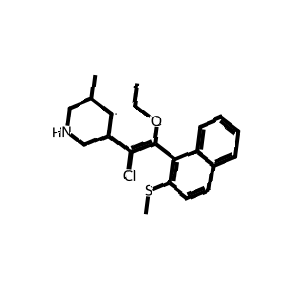 CCOC(=C(Cl)C1[CH]C(C)CNC1)c1c(SC)ccc2ccccc12